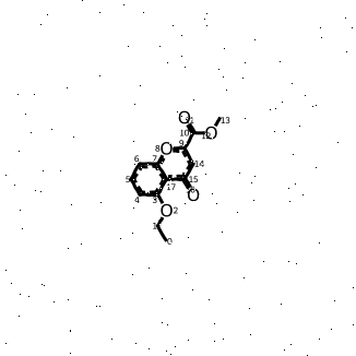 CCOc1cccc2oc(C(=O)OC)cc(=O)c12